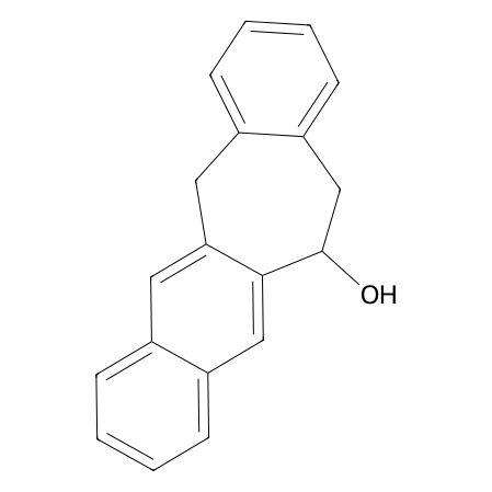 OC1Cc2ccccc2Cc2cc3ccccc3cc21